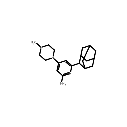 CN1CCN(c2cc(N)nc(C3C4CC5CC(C4)CC3C5)c2)CC1